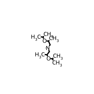 CC(C)OC(C)C[N]CC(C)OC(C)C